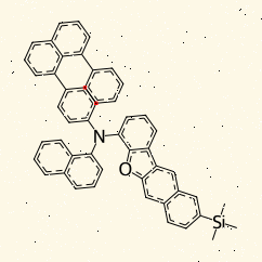 C[Si](C)(C)c1ccc2cc3oc4c(N(c5ccc(-c6cccc7cccc(-c8ccccc8)c67)cc5)c5cccc6ccccc56)cccc4c3cc2c1